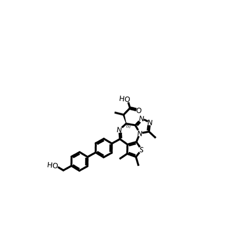 Cc1sc2c(c1C)C(c1ccc(-c3ccc(CO)cc3)cc1)=N[C@@H](C(C)C(=O)O)c1nnc(C)n1-2